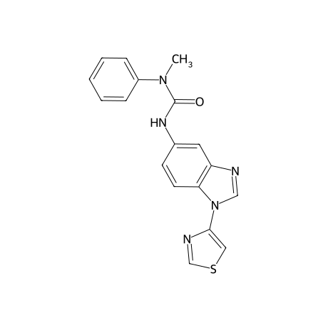 CN(C(=O)Nc1ccc2c(c1)ncn2-c1cscn1)c1ccccc1